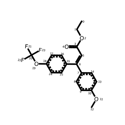 CCOC(=O)C=C(c1ccc(OC)cc1)c1ccc(OC(F)(F)F)cc1